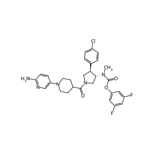 CN(C(=O)Oc1cc(F)cc(F)c1)[C@@H]1CN(C(=O)C2CCN(c3ccc(N)nc3)CC2)C[C@H]1c1ccc(Cl)cc1